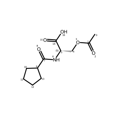 CC(=O)OC[C@H](NC(=O)C1CCCC1)C(=O)O